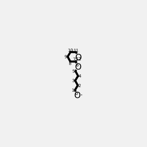 [O]CCCCCOC1CCCCO1